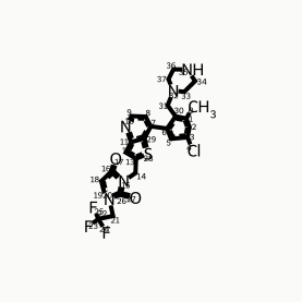 Cc1cc(Cl)cc(-c2ccnc3cc(Cn4c(=O)ccn(CC(F)(F)F)c4=O)sc23)c1CN1CCNCC1